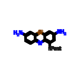 CCCCCc1cc(N)cc2[s+]c3cc(N)ccc3nc12